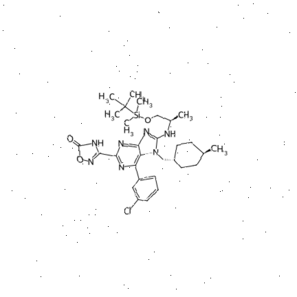 C[C@H](CO[Si](C)(C)C(C)(C)C)Nc1nc2nc(-c3noc(=O)[nH]3)nc(-c3cccc(Cl)c3)c2n1C[C@H]1CC[C@H](C)CC1